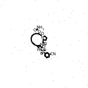 N#Cc1cccc(S(=O)(=O)NC(=O)C23CC2C=CCCCCCC(OC(N)=O)C(=O)N2CCCC2C(=O)N3)c1